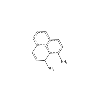 Nc1ccc2cccc3c2c1C(N)C=C3